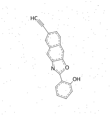 C#Cc1ccc2cc3oc(-c4ccccc4O)nc3cc2c1